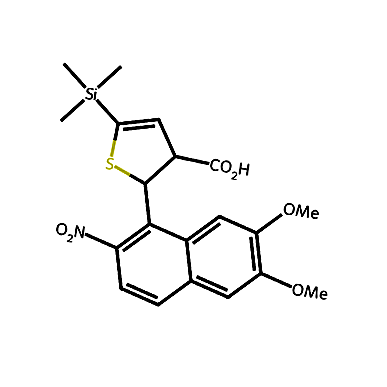 COc1cc2ccc([N+](=O)[O-])c(C3SC([Si](C)(C)C)=CC3C(=O)O)c2cc1OC